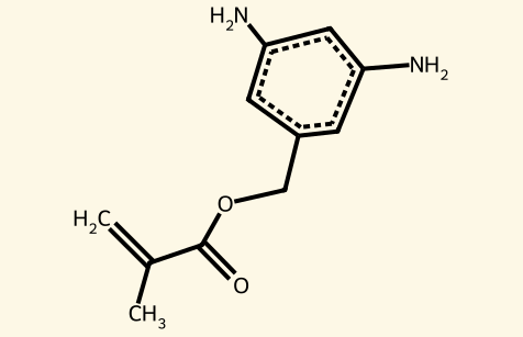 C=C(C)C(=O)OCc1cc(N)cc(N)c1